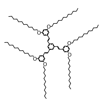 CCCCCCCCCCCCOc1cc(C=Cc2cc(C=Cc3cc(OCCCCCCCCCCCC)cc(OCCCCCCCCCCCC)c3)cc(C=Cc3cc(OCCCCCCCCCCCC)cc(OCCCCCCCCCCCC)c3)c2)cc(OCCCCCCCCCCCC)c1